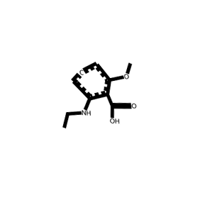 CCNc1cccc(OC)c1C(=O)O